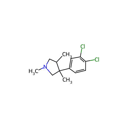 CC1CN(C)CC1(C)c1ccc(Cl)c(Cl)c1